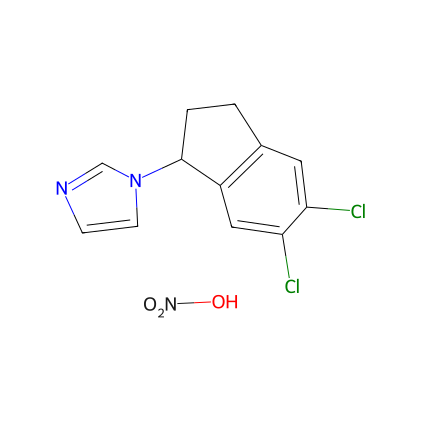 Clc1cc2c(cc1Cl)C(n1ccnc1)CC2.O=[N+]([O-])O